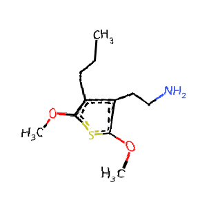 CCCc1c(OC)sc(OC)c1CCN